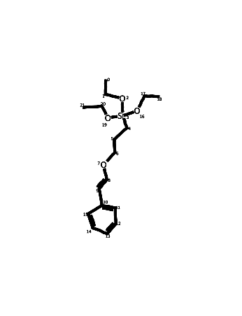 CCO[Si](CCCOC=Cc1ccccc1)(OCC)OCC